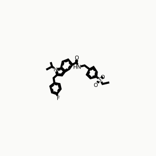 CCS(=O)(=O)c1ccc(CNC(=O)c2ccc3c(c2)cc(Cc2ccc(F)cc2)n3C(C)C)cc1